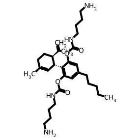 C=C(C)[C@@H]1CCC(C)=C[C@H]1c1c(OC(=O)NCCCCN)cc(CCCCC)cc1OC(=O)NCCCCN